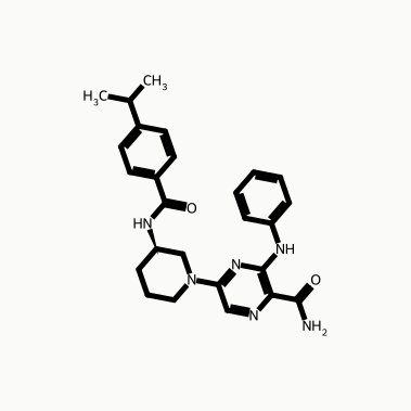 CC(C)c1ccc(C(=O)N[C@@H]2CCCN(c3cnc(C(N)=O)c(Nc4ccccc4)n3)C2)cc1